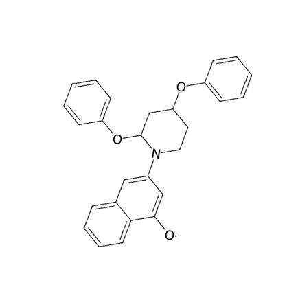 [O]c1cc(N2CCC(Oc3ccccc3)CC2Oc2ccccc2)cc2ccccc12